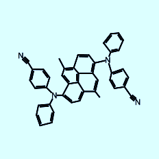 Cc1cc2c(N(c3ccccc3)c3ccc(C#N)cc3)ccc3c(C)cc4c(N(c5ccccc5)c5ccc(C#N)cc5)ccc1c4c32